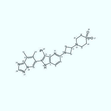 Cc1c(-c2[nH]c3ccc(N4CC(N5CCS(=O)(=O)CC5)C4)nc3c2C(C)C)cn2ncnc2c1C